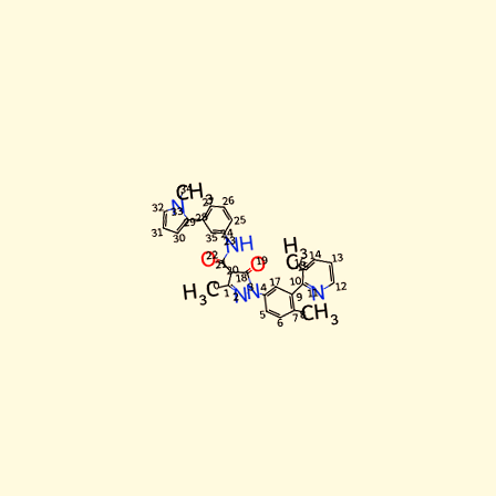 CC1=NN(c2ccc(C)c(-c3ncccc3C)c2)C(=O)C1C(=O)Nc1cccc(-c2cccn2C)c1